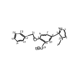 Cn1ccnc1-c1ccc(OCc2ccccc2)c(C(C)(C)C)c1